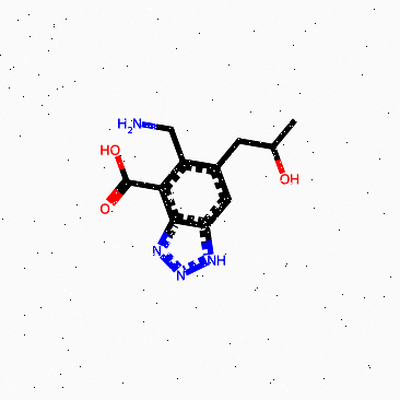 CC(O)Cc1cc2[nH]nnc2c(C(=O)O)c1CN